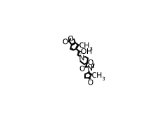 CC1=C(N2CCOC3(CCN(C[C@H](O)c4ccc5c(c4C)COC5=O)CC3)C2=O)CCC1=O